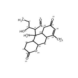 CCC(O)C(N=O)C1(N)C2CCC(=O)OC2CC2C(C)=CC(=O)CC21